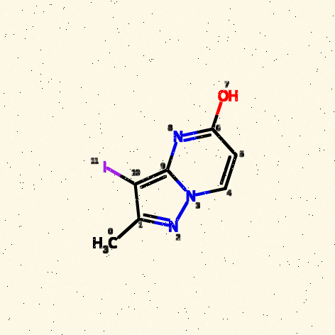 Cc1nn2ccc(O)nc2c1I